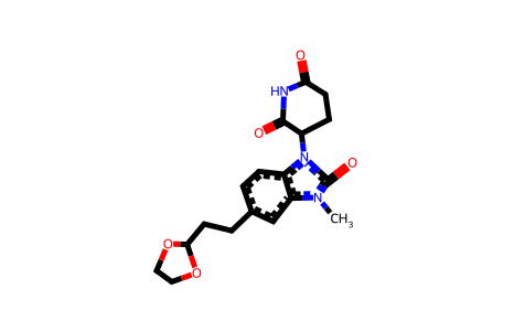 Cn1c(=O)n(C2CCC(=O)NC2=O)c2ccc(CCC3OCCO3)cc21